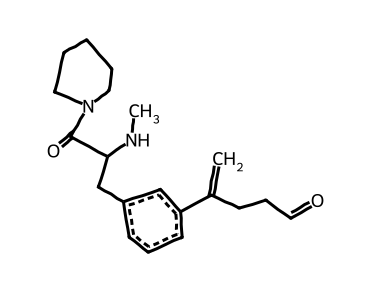 C=C(CCC=O)c1cccc(CC(NC)C(=O)N2CCCCC2)c1